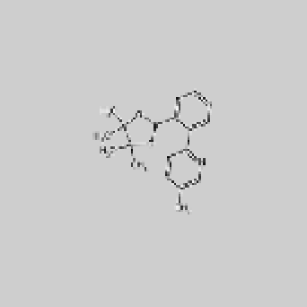 Cc1ccc(-c2ccccc2B2OC(C)(C)C(C)(C)O2)nc1